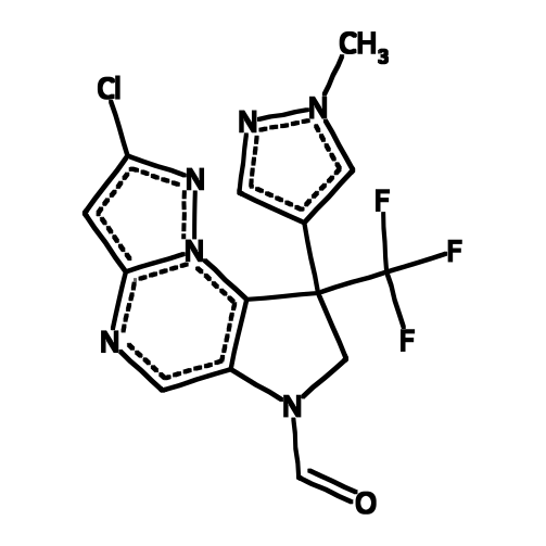 Cn1cc(C2(C(F)(F)F)CN(C=O)c3cnc4cc(Cl)nn4c32)cn1